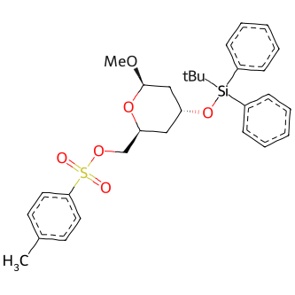 CO[C@H]1C[C@H](O[Si](c2ccccc2)(c2ccccc2)C(C)(C)C)C[C@@H](COS(=O)(=O)c2ccc(C)cc2)O1